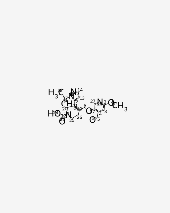 COc1cc(C=O)c(OCC2=C(c3ccnn3C(C)C)CN(C(=O)O)CC2)cn1